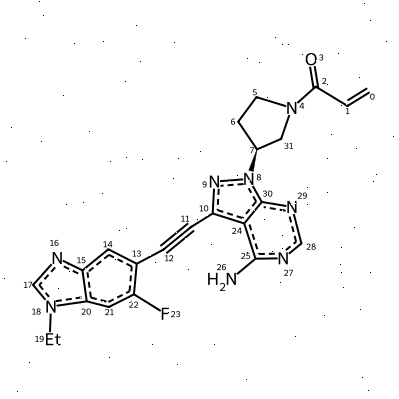 C=CC(=O)N1CC[C@H](n2nc(C#Cc3cc4ncn(CC)c4cc3F)c3c(N)ncnc32)C1